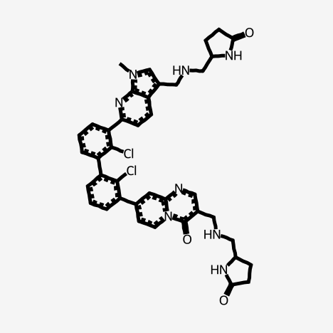 Cn1cc(CNCC2CCC(=O)N2)c2ccc(-c3cccc(-c4cccc(-c5ccn6c(=O)c(CNCC7CCC(=O)N7)cnc6c5)c4Cl)c3Cl)nc21